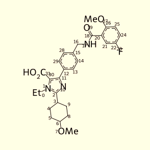 CCn1c(C2CCC(OC)CC2)nc(-c2ccc(CNC(=O)c3cc(F)ccc3OC)cc2)c1C(=O)O